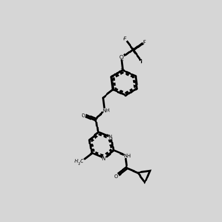 Cc1cc(C(=O)NCc2cccc(OC(F)(F)I)c2)nc(NC(=O)C2CC2)n1